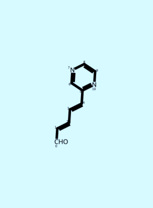 O=C/C=C/C=C/c1cnccn1